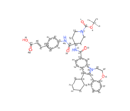 CC(C)(C)OC(=O)N1CCC(NC(=O)c2ccc3c(C4CCCCC4)c4n(c3c2)CCOc2ccccc2-4)(C(=O)Nc2ccc(C=CC(=O)O)cc2)CC1